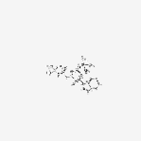 CC(C)(C)OC(=O)C[C@H](NC(=O)OC(C)(C)C)C(=O)On1nnc2ccccc21